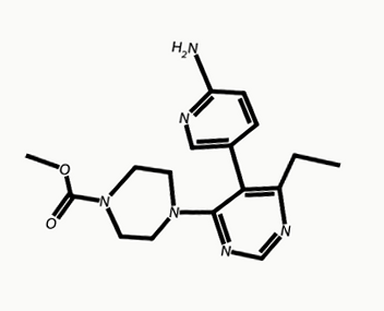 CCc1ncnc(N2CCN(C(=O)OC)CC2)c1-c1ccc(N)nc1